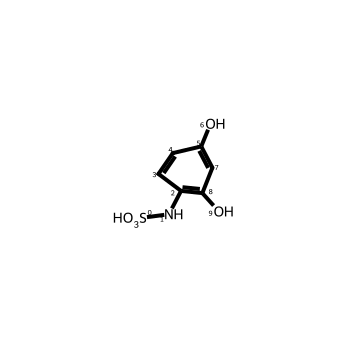 O=S(=O)(O)Nc1ccc(O)cc1O